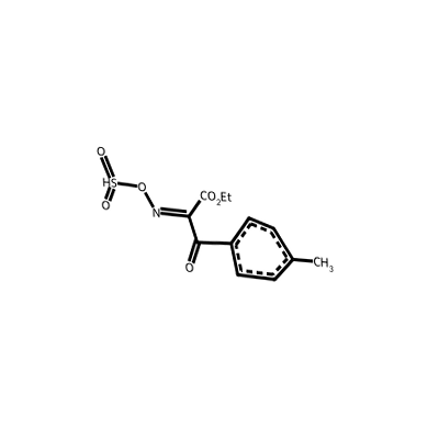 CCOC(=O)/C(=N\O[SH](=O)=O)C(=O)c1ccc(C)cc1